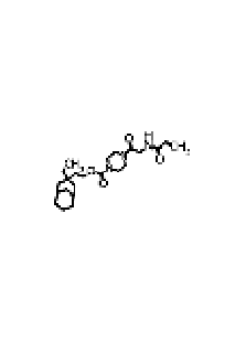 C=CC(=O)NCC(=O)N1CCN(C(=O)OCCC2(CC)CC3CCCC(C3)C2)CC1